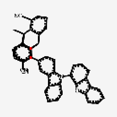 CC12c3ccc(C#N)cc3C(c3cccc(C#N)c31)c1c2ccc(C#N)c1-c1ccc2c(c1)c1ccccc1n2-c1cccc2c1oc1ccccc12